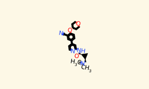 CN(C)C[C@@H]1C[C@H]1C(=O)Nc1cc(-c2ccc(OC3CCOCC3)c(C#N)c2)ccn1